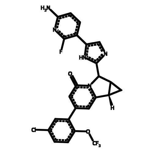 Nc1ccc(-c2cnc(C3C4C[C@@H]4c4cc(-c5cc(Cl)ccc5OC(F)(F)F)cc(=O)n43)[nH]2)c(F)n1